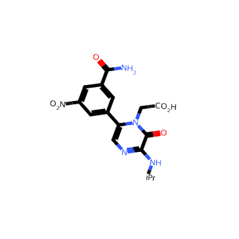 CC(C)Nc1ncc(-c2cc(C(N)=O)cc([N+](=O)[O-])c2)n(CC(=O)O)c1=O